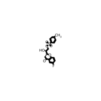 Cc1ccc(S(=O)(=O)OC[C@@H](O)[C@@H]2CC(=O)c3cc(F)ccc3O2)cc1